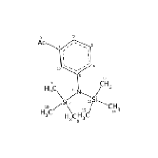 CC(=O)c1cccc(N([Si](C)(C)C)[Si](C)(C)C)c1